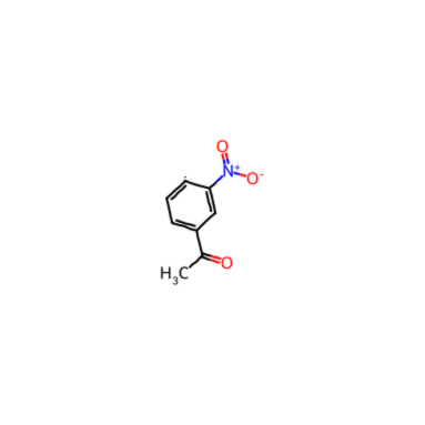 CC(=O)c1cc[c]c([N+](=O)[O-])c1